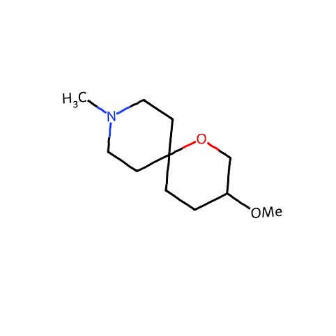 COC1CCC2(CCN(C)CC2)OC1